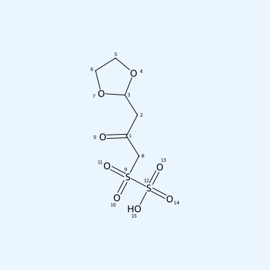 O=C(CC1OCCO1)CS(=O)(=O)S(=O)(=O)O